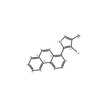 Brc1coc(-c2cccc3c2ccc2ccccc23)c1I